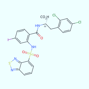 O=C(N[C@@H](Cc1ccc(Cl)cc1Cl)C(=O)O)c1ccc(I)cc1NS(=O)(=O)c1cccc2nsnc12